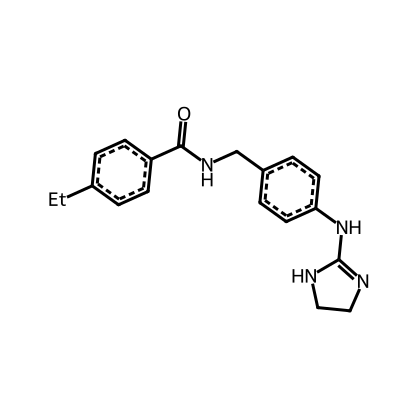 CCc1ccc(C(=O)NCc2ccc(NC3=NCCN3)cc2)cc1